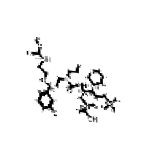 CCCN(CC[C@@H](OCCNC(=O)OC)c1cccc(Cl)c1)C(=O)N[C@H](CN(C)C(=O)O)C(CC[Si](C)(C)C)[C@H]1CCCOC1